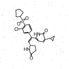 O=C1CC[C@H](C=C(c2ccc(S(=O)(=O)C3CCCC3)c(Cl)c2)c2ccc(C3CC3)c(=O)[nH]2)N1